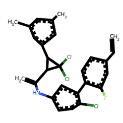 C=Cc1ccc(-c2cc(NC(=C)C3C(c4cc(C)cc(C)c4)C3(Cl)Cl)ccc2Cl)c(F)c1